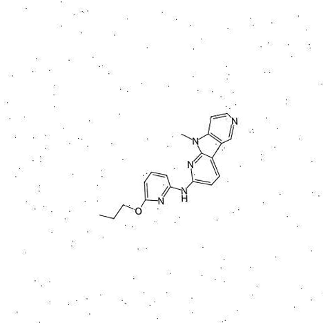 CCCOc1cccc(Nc2ccc3c4cnccc4n(C)c3n2)n1